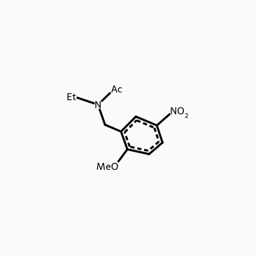 CCN(Cc1cc([N+](=O)[O-])ccc1OC)C(C)=O